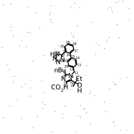 CCCCc1nc(C(=O)O)c(C(C)(O)CC)n1Cc1ccc(-c2ccccc2-c2nnn[nH]2)cc1